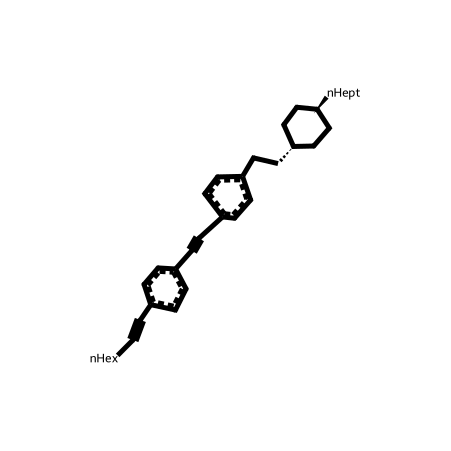 CCCCCCC#Cc1ccc(C#Cc2ccc(CC[C@H]3CC[C@H](CCCCCCC)CC3)cc2)cc1